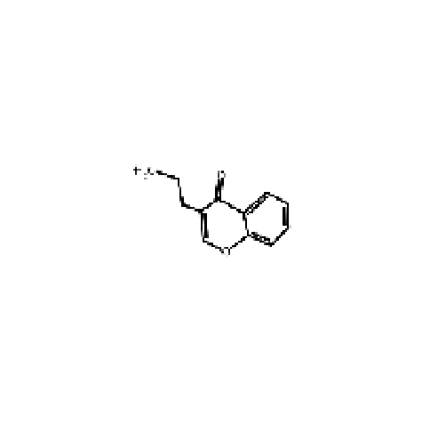 [CH2]CCc1coc2ccccc2c1=O